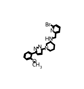 COc1ccccc1-c1ccc(N2CCCC(NCc3cccc(Br)n3)C2)nn1